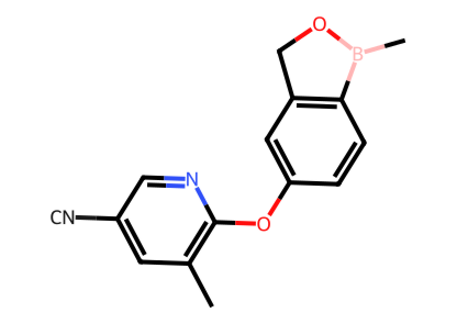 [C-]#[N+]c1cnc(Oc2ccc3c(c2)COB3C)c(C)c1